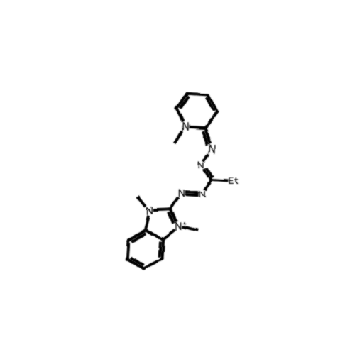 CCC(N=Nc1n(C)c2ccccc2[n+]1C)=NN=c1ccccn1C